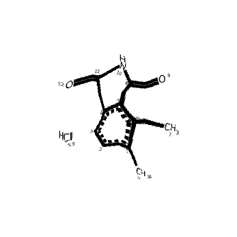 Cc1ccc2c(c1C)C(=O)NC2=O.Cl